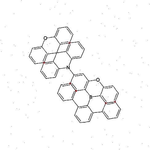 c1ccc(-c2cccc(-c3ccccc3)c2B2c3ccccc3Oc3cc(N4c5ccccc5C5(c6ccccc6Oc6ccccc65)c5ccccc54)ccc32)cc1